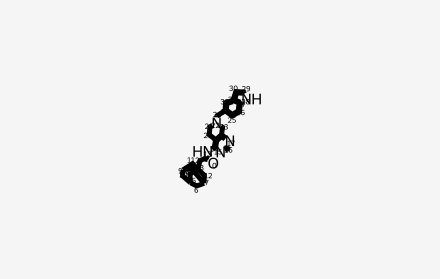 O=C(CC12CC3CC(CC(C3)C1)C2)Nc1ncnc2c1CCN(Cc1ccc3[nH]ccc3c1)C2